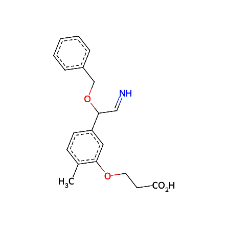 Cc1ccc(C(C=N)OCc2ccccc2)cc1OCCC(=O)O